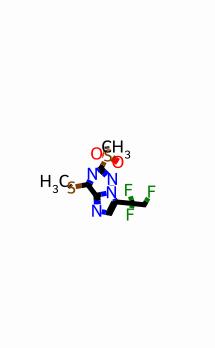 CSc1nc(S(C)(=O)=O)nn2c(C(F)(F)CF)cnc12